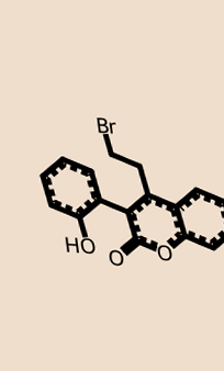 O=c1oc2ccccc2c(CCBr)c1-c1ccccc1O